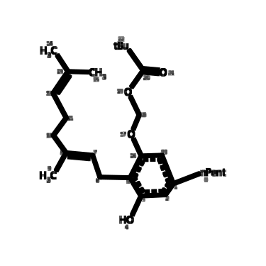 CCCCCc1cc(O)c(C/C=C(\C)CCC=C(C)C)c(OCOC(=O)C(C)(C)C)c1